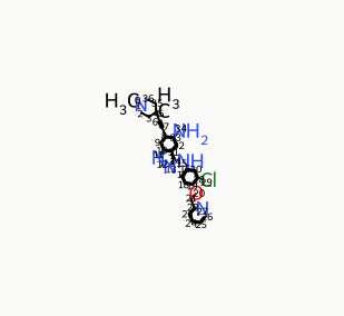 CN1CCC(C)(C#Cc2cc3ncnc(Nc4ccc(OCc5ccccn5)c(Cl)c4)c3cc2N)CC1